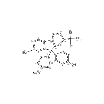 CCC(C)c1ccc2c(c1)C(c1ccc(O)cc1)(c1ccc(OC)cc1)c1cc(C(C)(CC)CC)ccc1-2